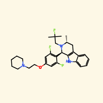 C[C@@H]1Cc2c([nH]c3ccccc23)[C@@H](c2c(F)cc(OCCN3CCCCC3)cc2F)N1CC(C)(C)F